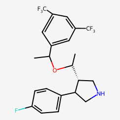 CC(OC(C)[C@@H]1CNCC1c1ccc(F)cc1)c1cc(C(F)(F)F)cc(C(F)(F)F)c1